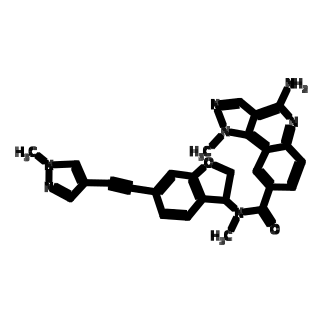 CN(C(=O)c1ccc2nc(N)c3cnn(C)c3c2c1)C1COc2cc(C#Cc3cnn(C)c3)ccc21